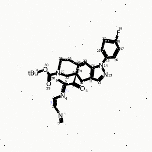 C=N/C=C\N=C(/C)C(=O)[C@]12Cc3cnn(-c4ccc(F)cc4)c3C=C1CCN(C(=O)OC(C)(C)C)C2